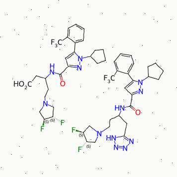 O=C(NC(CCN1C[C@H](F)[C@@H](F)C1)Cc1nnn[nH]1)c1cc(-c2ccccc2C(F)(F)F)n(C2CCCC2)n1.O=C(O)CC(CCN1C[C@H](F)[C@@H](F)C1)NC(=O)c1cc(-c2ccccc2C(F)(F)F)n(C2CCCC2)n1